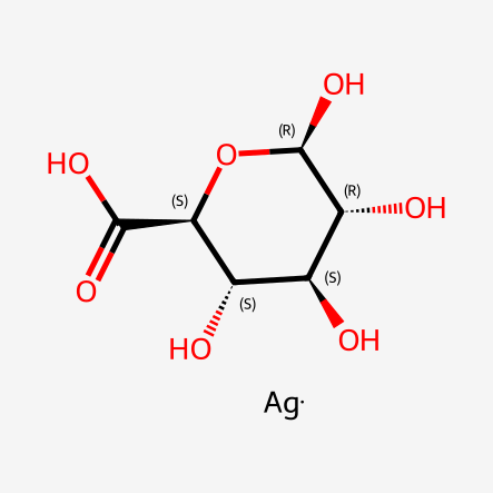 O=C(O)[C@H]1O[C@@H](O)[C@H](O)[C@@H](O)[C@@H]1O.[Ag]